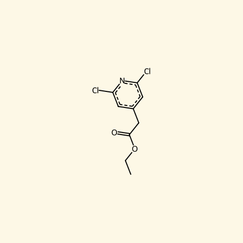 CCOC(=O)Cc1cc(Cl)nc(Cl)c1